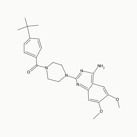 COc1cc2nc(N3CCN(C(=O)c4ccc(C(C)(C)C)cc4)CC3)nc(N)c2cc1OC